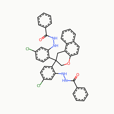 O=C(NNc1cc(Cl)ccc1C1(c2ccc(Cl)cc2NNC(=O)c2ccccc2)COc2ccc3ccccc3c2C1)c1ccccc1